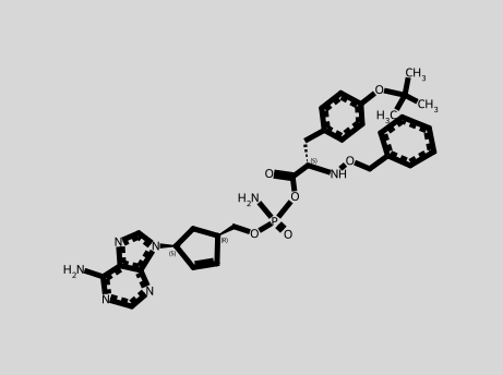 CC(C)(C)Oc1ccc(C[C@H](NOCc2ccccc2)C(=O)OP(N)(=O)OC[C@H]2C=C[C@@H](n3cnc4c(N)ncnc43)C2)cc1